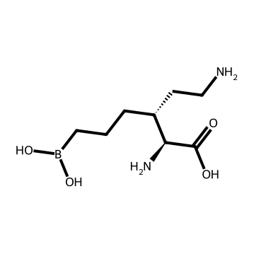 NCC[C@@H](CCCB(O)O)[C@H](N)C(=O)O